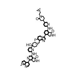 CN(C)CCN1CCC(c2ccc(Nc3ccc(-c4cnc5c(CN6CCC(O)(c7cccc(Nc8cnc(-c9ccnc%10c9ccn%10C)c9c8C(=O)NC9)n7)CC6)c(F)ccn45)c4c3C(=O)NC4)nc2)CC1=O